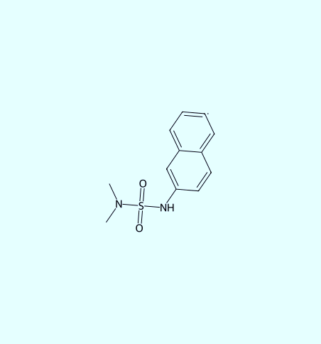 CN(C)S(=O)(=O)Nc1ccc2c[c]ccc2c1